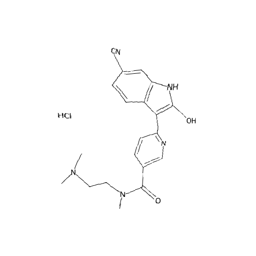 CN(C)CCN(C)C(=O)c1ccc(-c2c(O)[nH]c3cc(C#N)ccc23)nc1.Cl